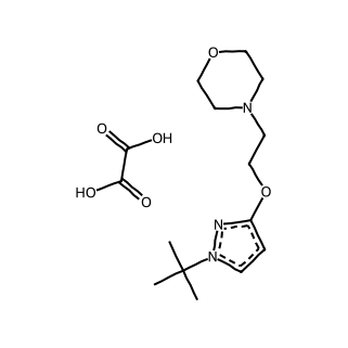 CC(C)(C)n1ccc(OCCN2CCOCC2)n1.O=C(O)C(=O)O